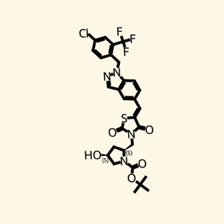 CC(C)(C)OC(=O)N1C[C@@H](O)C[C@H]1CN1C(=O)SC(=Cc2ccc3c(cnn3Cc3ccc(Cl)cc3C(F)(F)F)c2)C1=O